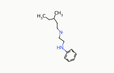 CCC(C)CC[N]CCNc1ccccc1